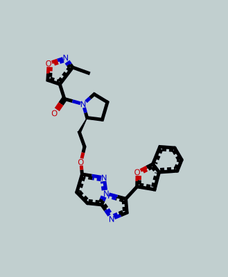 Cc1nocc1C(=O)N1CCC[C@H]1CCOc1ccc2ncc(-c3cc4ccccc4o3)n2n1